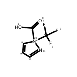 O=C(O)[N+]1(C(F)(F)F)C=CC=N1